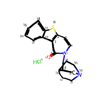 Cl.O=c1c2c(ccn1C1CN3CCC1CC3)sc1ccccc12